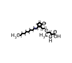 CCCCCCCC/C=C/C1=C(CC=C=C(C)CC(O)C(=O)O)C(=O)CC1